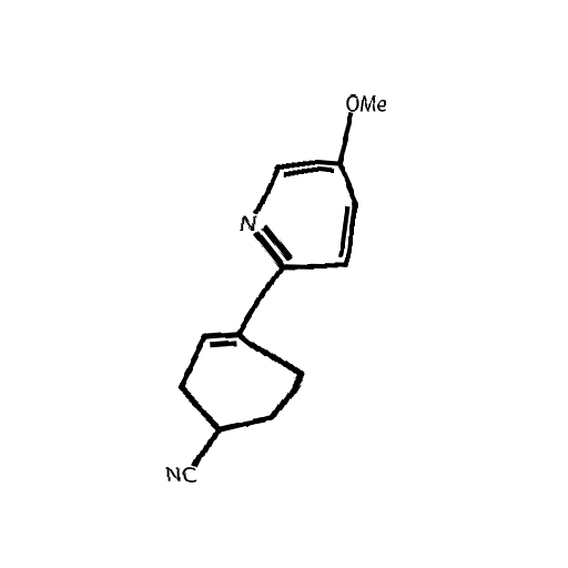 COc1ccc(C2=CCC(C#N)CC2)nc1